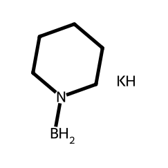 BN1CCCCC1.[KH]